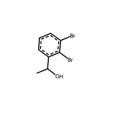 CC(O)c1cccc(Br)c1Br